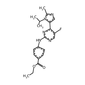 CCOC(=O)c1ccc(Nc2ncc(F)c(-c3cnc(C)n3C(C)C)n2)cc1